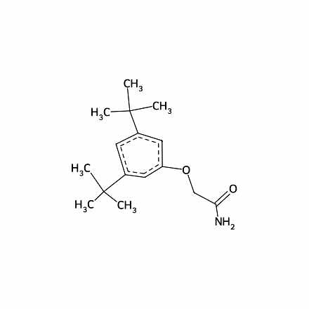 CC(C)(C)c1cc(OCC(N)=O)cc(C(C)(C)C)c1